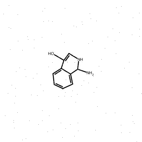 NC1NC=C(O)c2cc[c]cc21